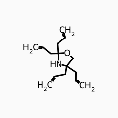 C=CCC1(CC=C)COC(CC=C)(CC=C)N1